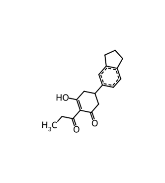 CCC(=O)C1=C(O)CC(c2ccc3c(c2)CCC3)CC1=O